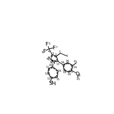 CCc1c(C(F)(F)F)nn(-c2ccc(S)cc2)c1-c1ccc(OC)c(C)c1